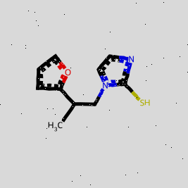 CC(Cn1ccnc1S)c1ccco1